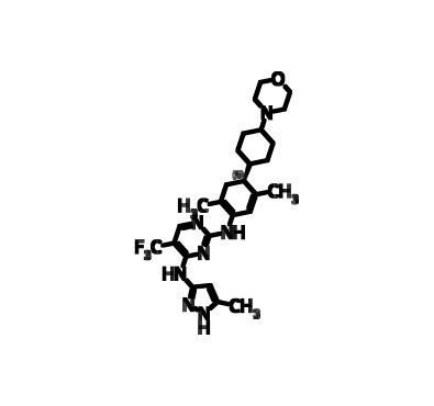 CC1=CC(Nc2ncc(C(F)(F)F)c(Nc3cc(C)[nH]n3)n2)=C(C)C[C@H]1C1CCC(N2CCOCC2)CC1